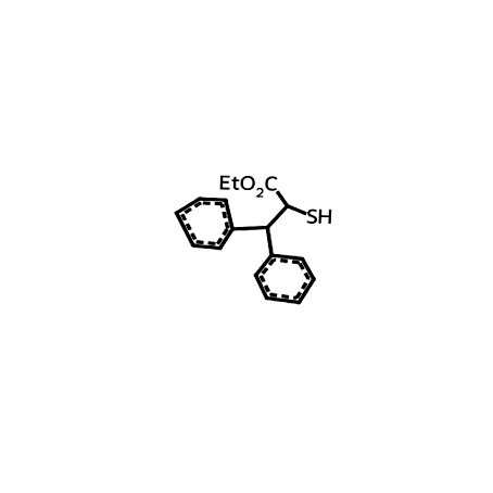 CCOC(=O)C(S)C(c1ccccc1)c1ccccc1